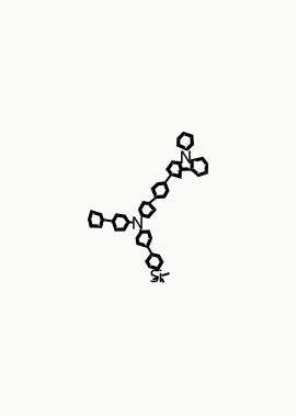 C[Si](C)(C)c1ccc(-c2ccc(N(c3ccc(-c4ccccc4)cc3)c3ccc(-c4ccc(-c5ccc6c(c5)c5ccccc5n6-c5ccccc5)cc4)cc3)cc2)cc1